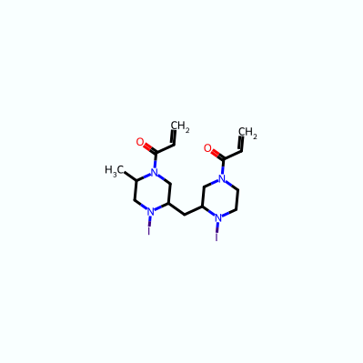 C=CC(=O)N1CCN(I)C(CC2CN(C(=O)C=C)C(C)CN2I)C1